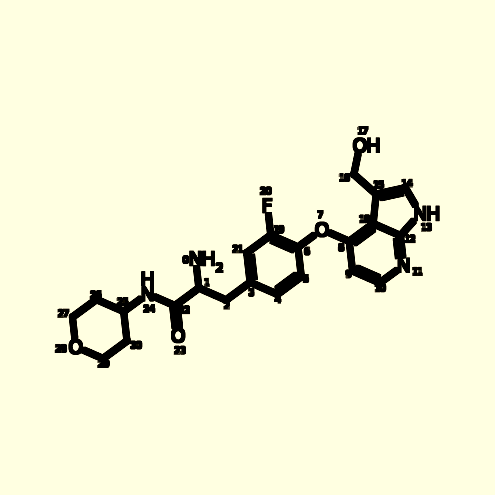 NC(Cc1ccc(Oc2ccnc3[nH]cc(CO)c23)c(F)c1)C(=O)NC1CCOCC1